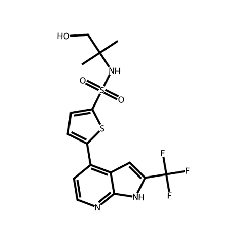 CC(C)(CO)NS(=O)(=O)c1ccc(-c2ccnc3[nH]c(C(F)(F)F)cc23)s1